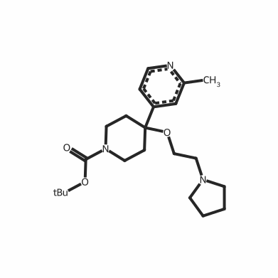 Cc1cc(C2(OCCN3CCCC3)CCN(C(=O)OC(C)(C)C)CC2)ccn1